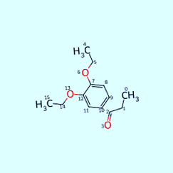 CCC=O.CCOc1ccccc1OCC